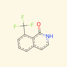 O=c1[nH]ccc2cccc(C(F)(F)F)c12